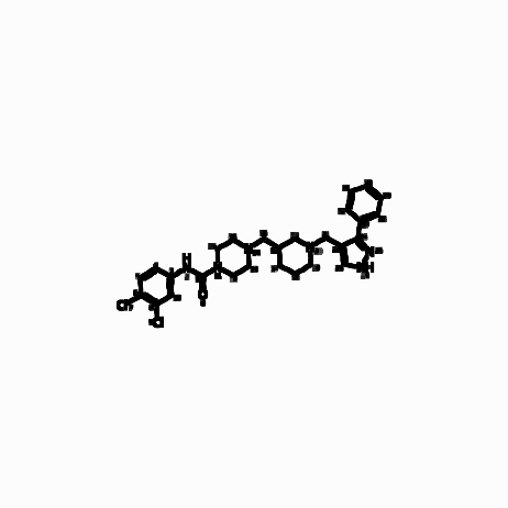 O=C(Nc1ccc(Cl)c(Cl)c1)N1CCN(C[C@@H]2CCCN(Cc3c[nH]nc3-c3ccccc3)C2)CC1